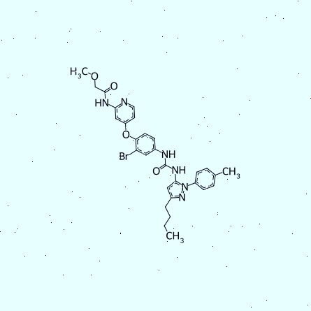 CCCCc1cc(NC(=O)Nc2ccc(Oc3ccnc(NC(=O)COC)c3)c(Br)c2)n(-c2ccc(C)cc2)n1